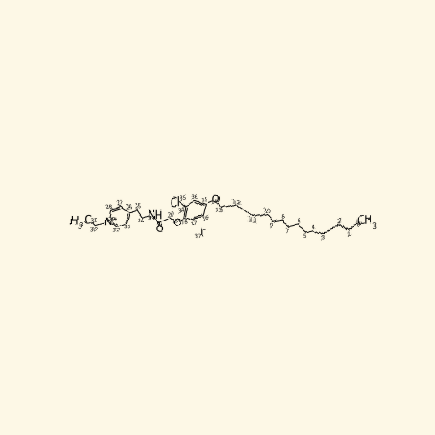 CCCCCCCCCCCCCCOc1ccc(OCC(=O)NCCc2cc[n+](CC)cc2)c(Cl)c1.[I-]